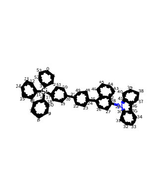 c1ccc([Si](c2ccccc2)(c2ccccc2)c2ccc(-c3ccc(-c4ccc(-n5c6ccccc6c6ccccc65)c5ccccc45)cc3)cc2)cc1